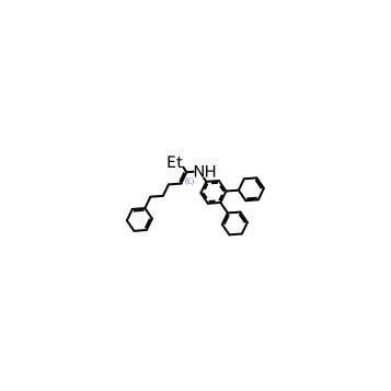 CC/C(=C\CCCC1=CCCC=C1)Nc1ccc(C2=CCCC=C2)c(C2C=CC=CC2)c1